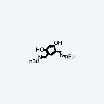 CCCC/N=C/c1cc(/C=N/CCCC)c(O)cc1O